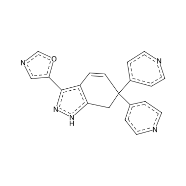 C1=CC(c2ccncc2)(c2ccncc2)Cc2[nH]nc(-c3cnco3)c21